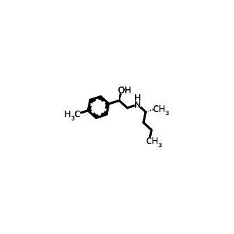 CCC[C@@H](C)NC[C@H](O)c1ccc(C)cc1